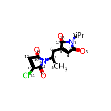 CC(C)N1C(=O)C=C(CC(C)N2C(=O)C=C(Cl)C2=O)C1=O